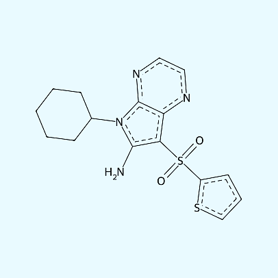 Nc1c(S(=O)(=O)c2cccs2)c2nccnc2n1C1CCCCC1